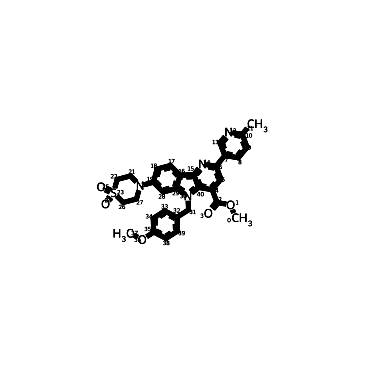 COC(=O)c1cc(-c2ccc(C)nc2)nc2c3ccc(N4CCS(=O)(=O)CC4)cc3n(Cc3ccc(OC)cc3)c12